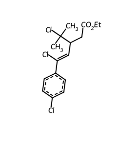 CCOC(=O)CC(C=C(Cl)c1ccc(Cl)cc1)C(C)(C)Cl